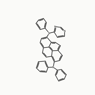 c1ccc(N(c2ccccc2)c2ccc3ccc4c(N(c5ccccc5)c5ccncn5)ccc5ccc2c3c54)cc1